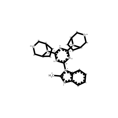 Cc1nc2ccccc2n1-c1nc(N2C3CCC2COC3)nc(N2C3CCC2COC3)n1